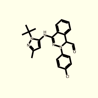 Cc1cc(NC2=NN(c3ccc(Cl)cc3)C(C=O)c3ccccc32)n(C(C)(C)C)n1